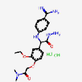 CCOc1cc(C(Nc2ccc(C(=N)N)cc2)C(=O)NN)ccc1OCC(=O)N(C)C.Cl.Cl